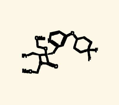 COCO[C@@]1(Cc2cc(OC3CCC(F)(F)CC3)ccn2)C(=O)N(COC)[C@H]1CC(C)C